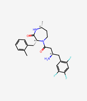 Cc1ccccc1C[C@@H]1C(=O)N[C@H](C)CCN1C(=O)C[C@H](N)Cc1cc(F)c(F)cc1F